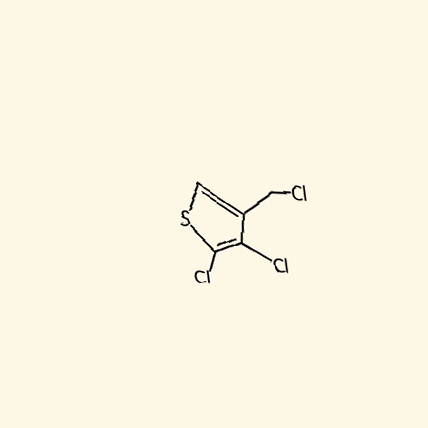 ClCc1csc(Cl)c1Cl